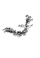 CCc1[nH]cc[n+]1C.CCc1[nH]cc[n+]1C.CCc1[nH]cc[n+]1C.O=C(O)C(=O)O.O=C(O)C(=O)O.O=C(O)C(=O)O.O=C(O)C(F)(F)C(=O)O.O=C(O)C(F)(F)C(=O)O.O=C(O)C(F)(F)C(=O)O.[O-]B([O-])[O-]